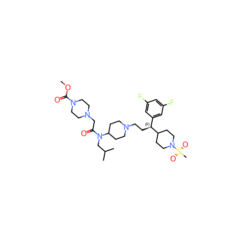 COC(=O)N1CCN(CC(=O)N(CC(C)C)C2CCN(CC[C@@H](c3cc(F)cc(F)c3)C3CCN(S(C)(=O)=O)CC3)CC2)CC1